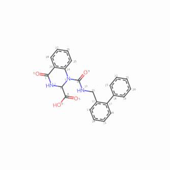 O=C1NC(C(=O)O)N(C(=O)NCc2ccccc2-c2ccccc2)c2ccccc21